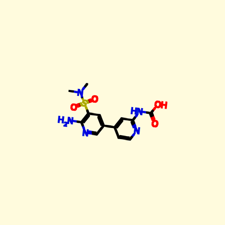 CN(C)S(=O)(=O)c1cc(-c2ccnc(NC(=O)O)c2)cnc1N